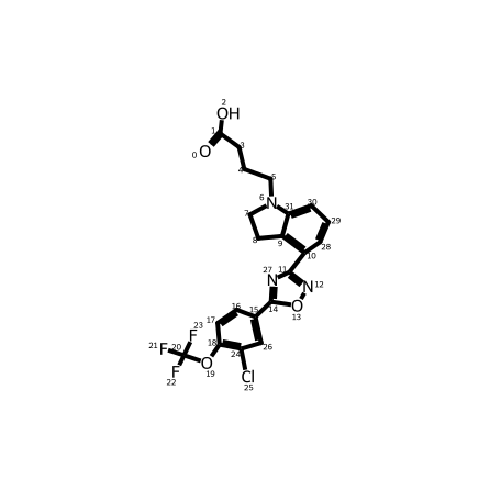 O=C(O)CCCN1CCc2c(-c3noc(-c4ccc(OC(F)(F)F)c(Cl)c4)n3)cccc21